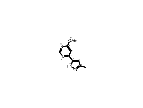 COc1cc(-c2cc(C)n[nH]2)ncn1